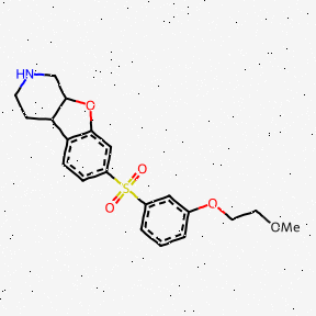 COCCOc1cccc(S(=O)(=O)c2ccc3c(c2)OC2CNCCC32)c1